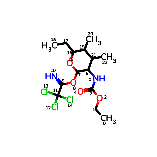 CCOC(=O)NC1C(OC(=N)C(Cl)(Cl)Cl)OC(CC)C(C)C1C